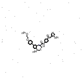 CCCOCCOc1ccc(-c2ccc3c(c2)/C=C(/C(=O)Nc2ccc([S@@+]([O-])Cc4cncn4CCC)cc2)CCCN3CCC)cc1